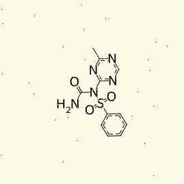 Cc1ncnc(N(C(N)=O)S(=O)(=O)c2ccccc2)n1